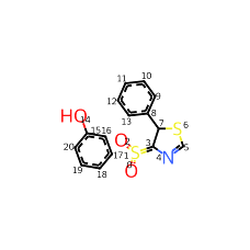 O=S(=O)=C1N=CSC1c1ccccc1.Oc1ccccc1